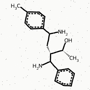 Cc1ccc(C(N)C[C@@H](C(N)c2ccccc2)[C@@H](C)O)cc1